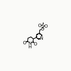 CS(=O)(=O)OCc1cncc(C2CCC(=O)NC2=O)c1